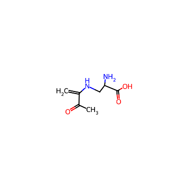 C=C(NCC(N)C(=O)O)C(C)=O